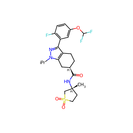 CC(C)n1nc(-c2cc(OC(F)F)ccc2F)c2c1C[C@H](C(=O)N[C@]1(C)CCS(=O)(=O)C1)CC2